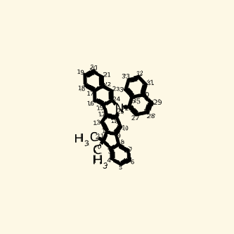 CC1(C)c2ccccc2-c2cc3c(cc21)c1cc2ccccc2cc1n3-c1cccc2ccccc12